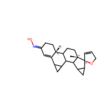 C[C@]12CCC3C(C4CC4C4=CC(=NO)CC[C@@H]43)C1C1CC1[C@@]21C=CCO1